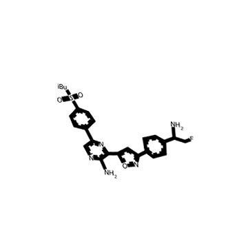 CCC(C)S(=O)(=O)c1ccc(-c2cnc(N)c(-c3cc(-c4ccc(C(N)CF)cc4)no3)n2)cc1